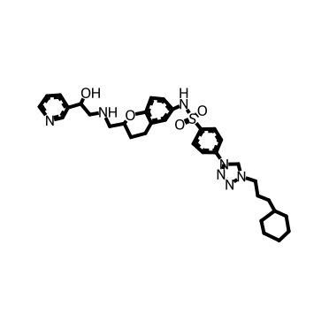 O=S(=O)(Nc1ccc2c(c1)CCC(CNCC(O)c1cccnc1)O2)c1ccc(N2CN(CCCC3CCCCC3)N=N2)cc1